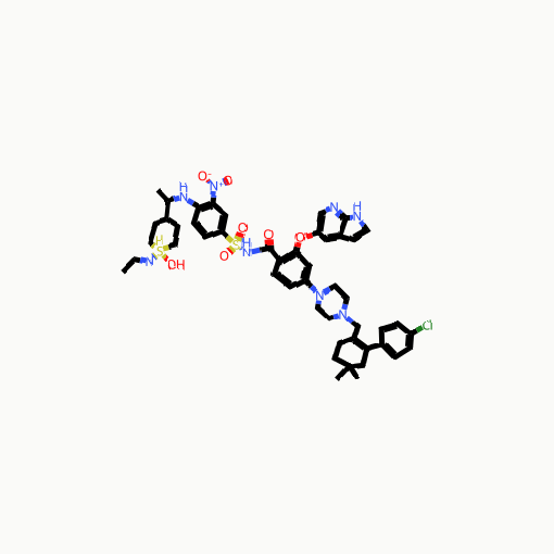 CCN=[SH]1(O)CCC(C(C)Nc2ccc(S(=O)(=O)NC(=O)c3ccc(N4CCN(CC5=C(c6ccc(Cl)cc6)CC(C)(C)CC5)CC4)cc3Oc3cnc4[nH]ccc4c3)cc2[N+](=O)[O-])CC1